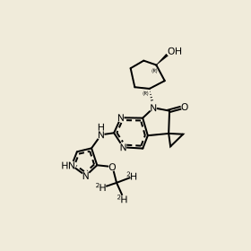 [2H]C([2H])([2H])Oc1n[nH]cc1Nc1ncc2c(n1)N([C@@H]1CCC[C@@H](O)C1)C(=O)C21CC1